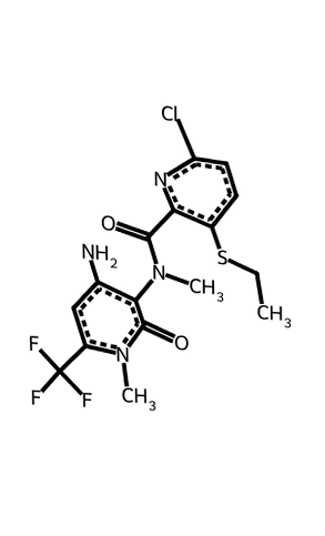 CCSc1ccc(Cl)nc1C(=O)N(C)c1c(N)cc(C(F)(F)F)n(C)c1=O